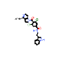 CC(=O)Nc1nccc2c1ccn2C(=O)c1c(Cl)cc(C(=O)NCCc2c[nH]c3ccccc23)cc1Cl